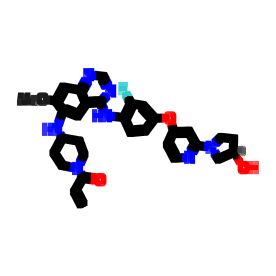 C=CC(=O)N1CCC(Nc2cc3c(Nc4ccc(Oc5ccnc(N6CC[C@@H](O)C6)c5)cc4F)ncnc3cc2OC)CC1